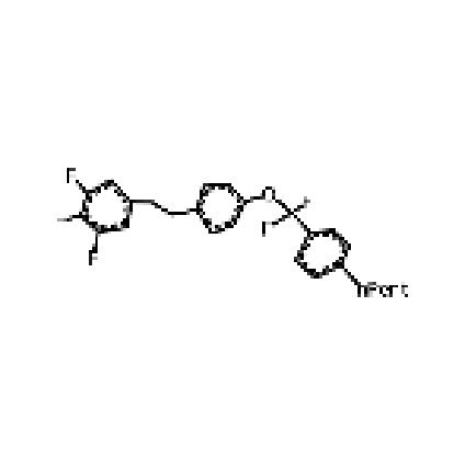 CCCCCc1ccc(C(F)(F)Oc2ccc(CCc3cc(F)c(F)c(F)c3)cc2)cc1